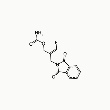 NC(=O)OCC(=CF)CN1C(=O)c2ccccc2C1=O